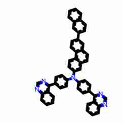 c1ccc2cc(-c3ccc4c(ccc5cc(N(c6ccc(-c7ncnc8ccccc78)cc6)c6ccc(-c7ncnc8ccccc78)cc6)ccc54)c3)ccc2c1